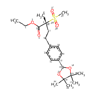 CCOC(=O)[C@@](C)(CCc1ccc(B2OC(C)(C)C(C)(C)O2)cc1)S(C)(=O)=O